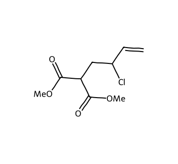 C=CC(Cl)CC(C(=O)OC)C(=O)OC